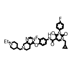 CCN1CCC(CN2CCc3c(ncnc3Oc3ccc(NC(=O)c4cn(CC5CC5)c(=O)n(-c5ccc(F)cc5)c4=O)cc3F)C2)CC1